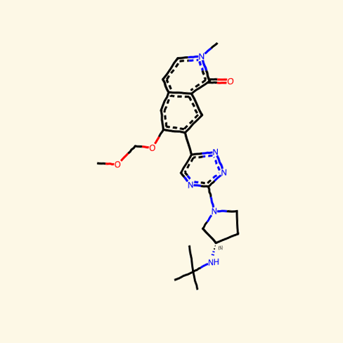 COCOc1cc2ccn(C)c(=O)c2cc1-c1cnc(N2CC[C@H](NC(C)(C)C)C2)nn1